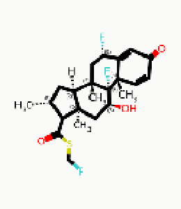 C[C@@H]1C[C@@H]2[C@@](C)(C[C@H](O)[C@]3(F)[C@@]4(C)C=CC(=O)C=C4[C@@H](F)C[C@@]23C)[C]1C(=O)SCF